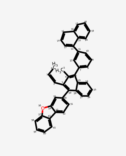 C/C=C\c1c(C)c(-c2cccc(-c3cccc4ccccc34)c2)c2ccccc2c1-c1ccc2c(c1)oc1ccccc12